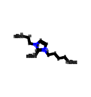 CCCCCCCCCCCCCC[n+]1ccn(CCCCCCCCCCCC)c1CCCCCCCCC